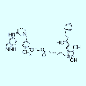 Cc1ccc(CN2CCC[C@@H](Nc3ccc4[nH]ncc4c3)C2)cc1OCCOC(=O)CCCC=CC[C@@H]1[C@@H](C=C[C@@H](O)CCc2ccccc2)[C@H](O)C[C@@H]1O